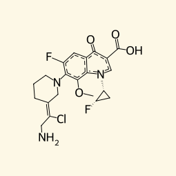 COc1c(N2CCCC(=C(Cl)CN)C2)c(F)cc2c(=O)c(C(=O)O)cn([C@@H]3C[C@@H]3F)c12